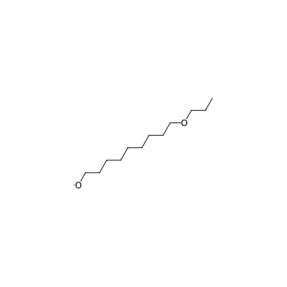 CCCOCCCCCCCCC[O]